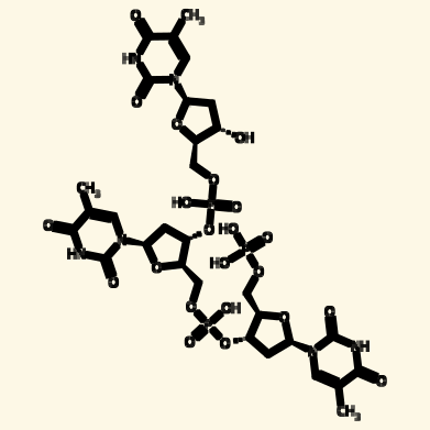 Cc1cn([C@H]2C[C@H](OP(=O)(O)OC[C@H]3O[C@@H](n4cc(C)c(=O)[nH]c4=O)C[C@@H]3OP(=O)(O)OC[C@H]3O[C@@H](n4cc(C)c(=O)[nH]c4=O)C[C@@H]3O)[C@@H](COP(=O)(O)O)O2)c(=O)[nH]c1=O